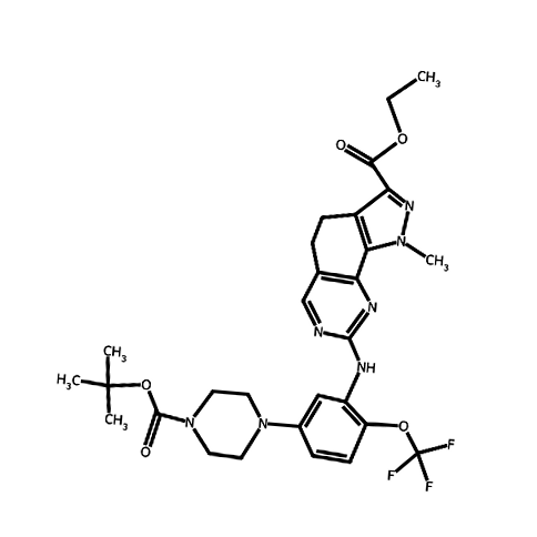 CCOC(=O)c1nn(C)c2c1CCc1cnc(Nc3cc(N4CCN(C(=O)OC(C)(C)C)CC4)ccc3OC(F)(F)F)nc1-2